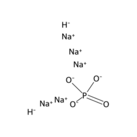 O=P([O-])([O-])[O-].[H-].[H-].[Na+].[Na+].[Na+].[Na+].[Na+]